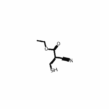 CCOC(=O)C(C#N)=CS